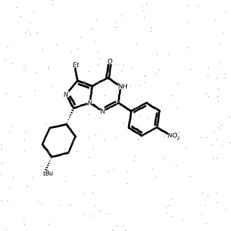 CCc1nc([C@H]2CC[C@@H](C(C)(C)C)CC2)n2nc(-c3ccc([N+](=O)[O-])cc3)[nH]c(=O)c12